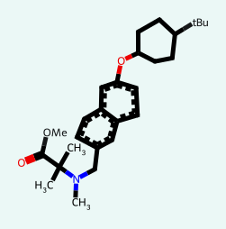 COC(=O)C(C)(C)N(C)Cc1ccc2cc(OC3CCC(C(C)(C)C)CC3)ccc2c1